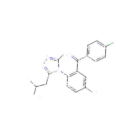 COc1ccc(-n2c(C)nnc2CC(C)C(=O)O)c(C(=N)c2ccc(Cl)cc2)c1